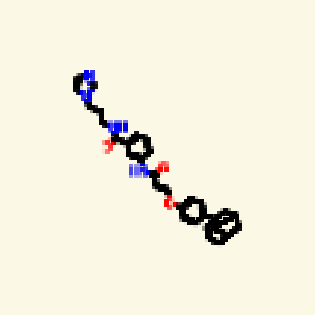 O=C(/C=C/Oc1ccc(C23CC4CC(CC(C4)C2)C3)cc1)Nc1cccc(C(=O)NCCCn2ccnc2)c1